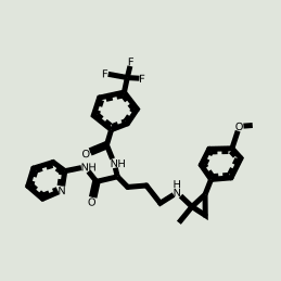 COc1ccc(C2CC2(C)NCCCC(NC(=O)c2ccc(C(F)(F)F)cc2)C(=O)Nc2ccccn2)cc1